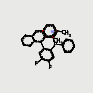 C/C=C(\C)c1ccc2ccccc2c1-c1cc(F)c(F)cc1P(c1ccccc1)c1ccccc1